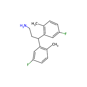 Cc1ccc(F)cc1C(CCN)c1cc(F)ccc1C